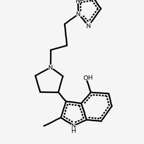 Cc1[nH]c2cccc(O)c2c1C1CCN(CCCn2nccn2)C1